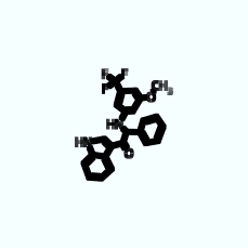 COc1cc(NC(C(=O)c2c[nH]c3ccccc23)c2ccccc2)cc(C(F)(F)F)c1